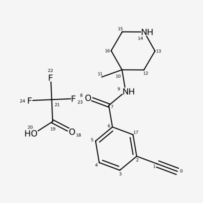 C#Cc1cccc(C(=O)NC2(C)CCNCC2)c1.O=C(O)C(F)(F)F